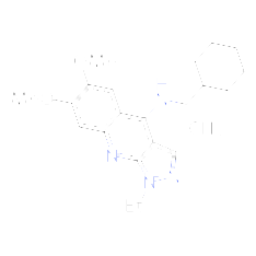 CCn1ncc2c(N[C@@H](C)C3CCCCC3)c3cc(OC)c(OC)cc3nc21